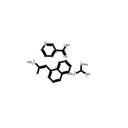 C/C(=C\c1cccc2ccccc12)C(=O)O.CCCCCCC(O)C(=O)O.O=C(S)c1cccnc1